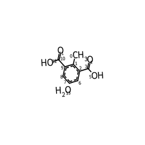 Cc1c(C(=O)O)cccc1C(=O)O.O